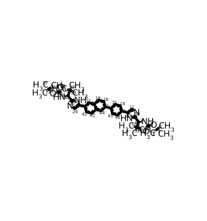 CC(C)(C)OC(=O)N[C@H](c1ncc(-c2ccc(-c3ccc4cc(-c5cnc([C@@H](NC(=O)OC(C)(C)C)C(C)(C)C)[nH]5)ccc4c3)cc2)[nH]1)C(C)(C)C